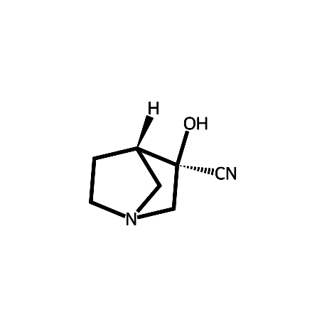 N#C[C@]1(O)CN2CC[C@H]1C2